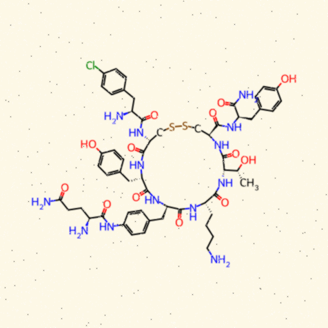 C[C@@H](O)[C@@H]1NC(=O)[C@H](CCCCN)NC(=O)[C@@H](Cc2ccc(NC(=O)[C@@H](N)CCC(N)=O)cc2)NC(=O)[C@H](Cc2ccc(O)cc2)NC(=O)[C@H](NC(=O)[C@@H](N)Cc2ccc(Cl)cc2)CSSC[C@@H](C(=O)N[C@H](Cc2ccc(O)cc2)C(N)=O)NC1=O